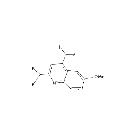 COc1ccc2nc(C(F)F)cc(C(F)F)c2c1